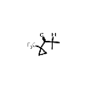 CCC(C)(C)C(=O)C1(C(F)(F)F)CC1